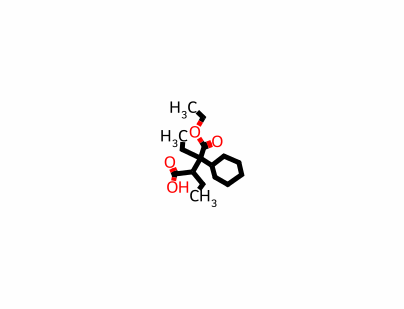 CCOC(=O)C(CC)(C1CCCCC1)C(CC)C(=O)O